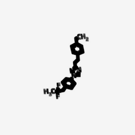 C=Cc1ccc(CCc2ncn(-c3ccc(CC(C)(F)F)cc3)n2)cc1